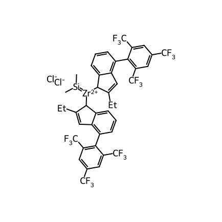 CCC1=Cc2c(-c3c(C(F)(F)F)cc(C(F)(F)F)cc3C(F)(F)F)cccc2[CH]1[Zr+2]([CH]1C(CC)=Cc2c(-c3c(C(F)(F)F)cc(C(F)(F)F)cc3C(F)(F)F)cccc21)=[Si](C)C.[Cl-].[Cl-]